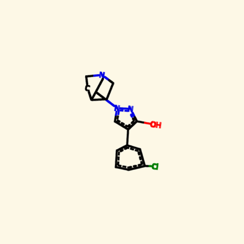 Oc1nn(C2CN3CCC2CC3)cc1-c1cccc(Cl)c1